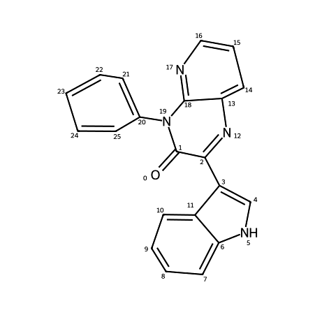 O=c1c(-c2c[nH]c3ccccc23)nc2cccnc2n1-c1ccccc1